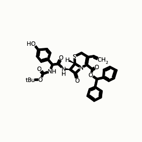 C=CC1=C(C(=O)OC(c2ccccc2)c2ccccc2)N2C(=O)[C@@H](NC(=O)C(NC(=O)OC(C)(C)C)c3ccc(O)cc3)[C@@H]2SC1